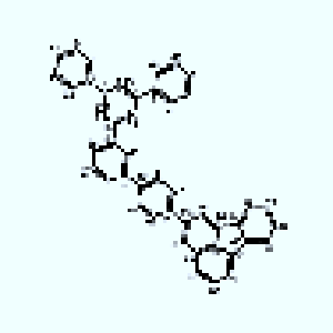 c1ccc(-c2nc(-c3ccccc3)nc(-c3cccc(-c4ccc(-c5cc6c7c(cccc7c5)-c5ccccc5-6)cc4)c3)n2)cc1